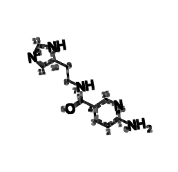 Nc1ccc(C(=O)NCCc2cnc[nH]2)cn1